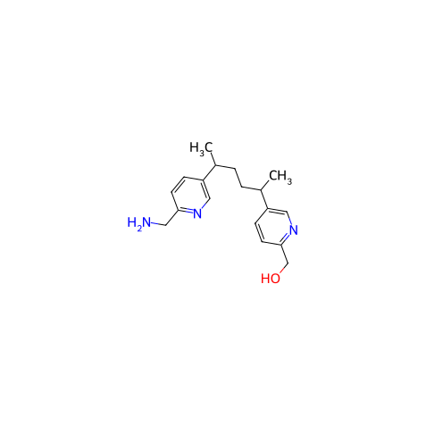 CC(CCC(C)c1ccc(CO)nc1)c1ccc(CN)nc1